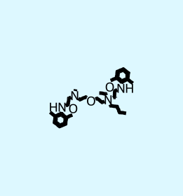 CCCC[N+](CC)(CCOCCN(C)CC(=O)Nc1c(C)cccc1C)CC(=O)Nc1c(C)cccc1C